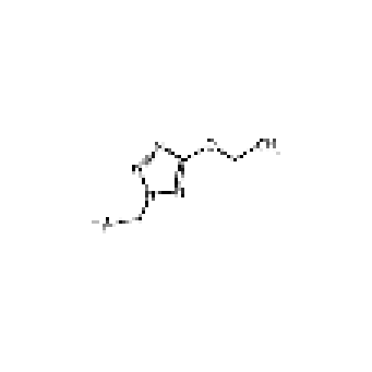 CCOc1nnn(CC)n1